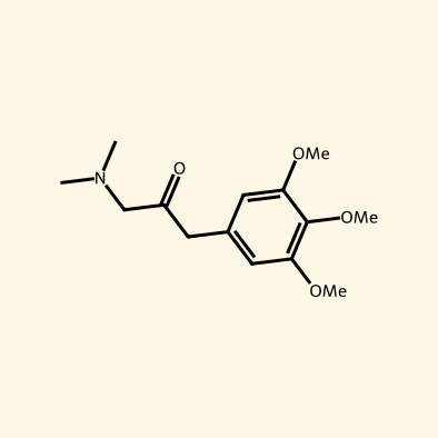 COc1cc(CC(=O)CN(C)C)cc(OC)c1OC